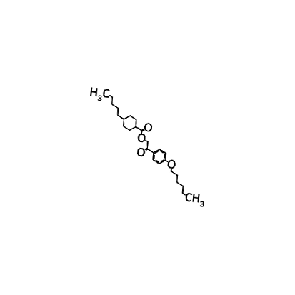 CCCCCCOc1ccc(C(=O)COC(=O)C2CCC(CCCCC)CC2)cc1